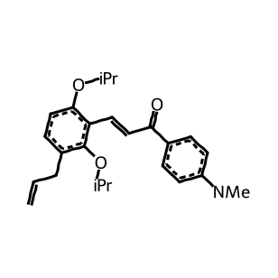 C=CCc1ccc(OC(C)C)c(C=CC(=O)c2ccc(NC)cc2)c1OC(C)C